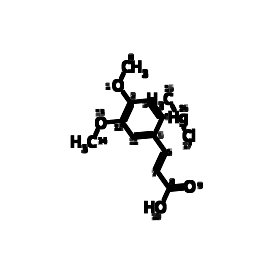 COc1ccc(C=CC(=O)O)cc1OC.[CH3][Hg][Cl]